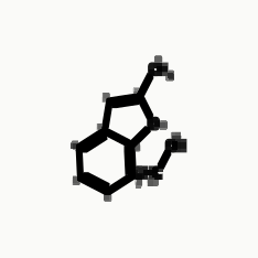 Cc1cc2ccccc2o1.O=CO